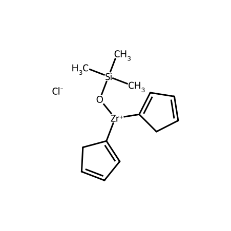 C[Si](C)(C)[O][Zr+]([C]1=CC=CC1)[C]1=CC=CC1.[Cl-]